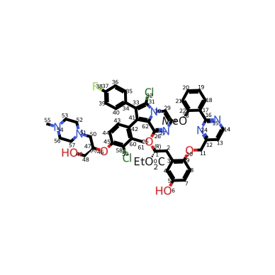 CCOC(=O)[C@@H](Cc1cc(O)ccc1OCc1ccnc(-c2ccccc2OC)n1)Oc1nccn2c(Cl)c(-c3ccc(F)cc3)c(-c3ccc(O[C@@H](CO)CN4CCN(C)CC4)c(Cl)c3C)c12